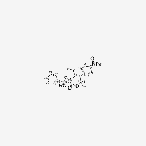 CC[C@H]1C(c2ccc([N+](=O)[O-])cc2)C(C)(C)OC(=O)N1C[C@H](O)c1ccccc1